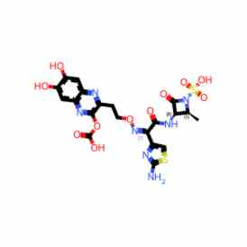 C[C@H]1[C@@H](NC(=O)/C(=N\OCCc2nc3cc(O)c(O)cc3nc2OC(=O)O)c2csc(N)n2)C(=O)N1S(=O)(=O)O